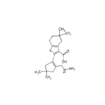 CC1(C)CC(CNN)=C(c2sc3c(c2C(=O)O)CC(C)(C)CC3)C1